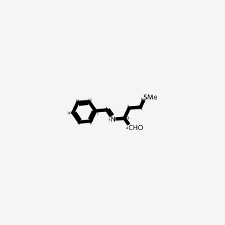 CSCCC(C=O)N=Cc1ccccc1